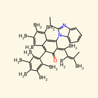 B/C(C)=C(B)/C(B)=C1\C(=O)C(c2c(B)c(B)c(B)c(B)c2B)=c2c(B)c(B)c(B)c(B)c2=C1n1c(CC)nc2ccccc21